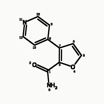 NC(=O)c1occc1-c1ccncc1